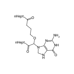 CCCCCCCC(=O)CCCOC(C(=O)CCCCCCC)N1CNc2c1nc(N)[nH]c2=O